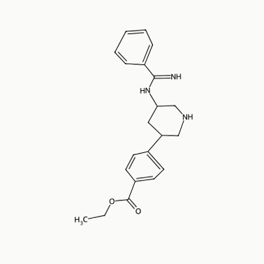 CCOC(=O)c1ccc(C2CNCC(NC(=N)c3ccccc3)C2)cc1